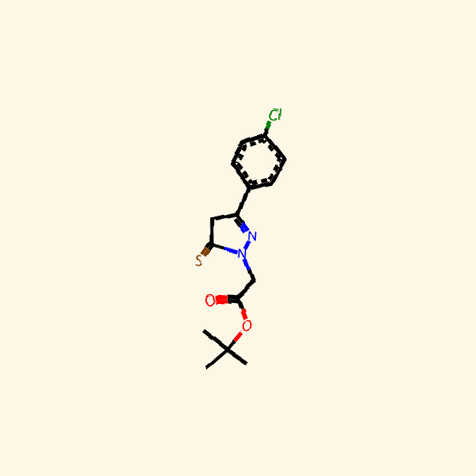 CC(C)(C)OC(=O)CN1N=C(c2ccc(Cl)cc2)CC1=S